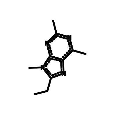 CCc1nc2c(C)nc(C)nc2n1C